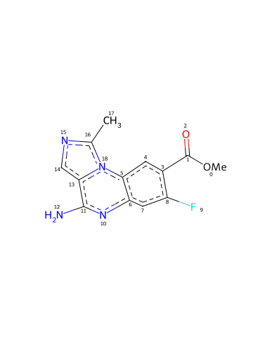 COC(=O)c1cc2c(cc1F)nc(N)c1cnc(C)n12